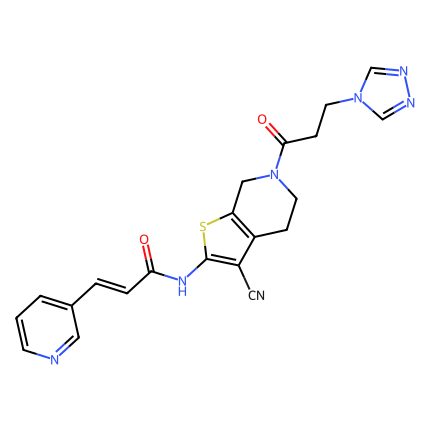 N#Cc1c(NC(=O)C=Cc2cccnc2)sc2c1CCN(C(=O)CCn1cnnc1)C2